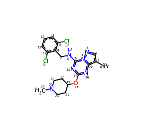 CC(C)c1cnn2c(NCc3c(Cl)cccc3Cl)nc(OC3CCN(C)CC3)nc12